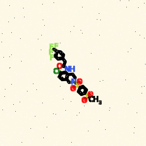 CS(=O)(=O)c1ccc(S(=O)(=O)N2CCc3c(ccc(Cl)c3NC(=O)Cc3ccc(C(F)(F)F)c(F)c3)C2)cc1